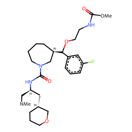 CNC[C@H](C[C@H]1CCCOC1)NC(=O)N1CCCC[C@@H](C(OCCNC(=O)OC)c2cccc(F)c2)C1